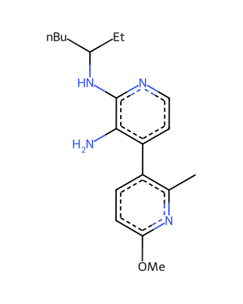 CCCCC(CC)Nc1nccc(-c2ccc(OC)nc2C)c1N